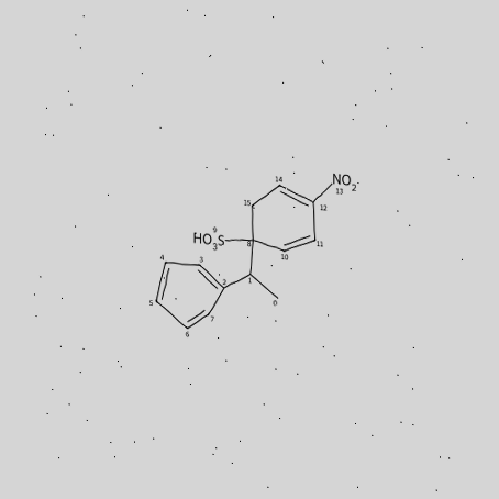 CC(c1ccccc1)C1(S(=O)(=O)O)C=CC([N+](=O)[O-])=CC1